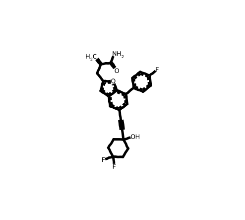 C=C(Cc1cc2cc(C#CC3(O)CCC(F)(F)CC3)cc(-c3ccc(F)cc3)c2o1)C(N)=O